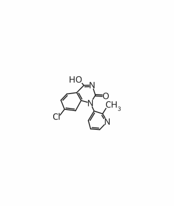 Cc1ncccc1-n1c(=O)nc(O)c2ccc(Cl)cc21